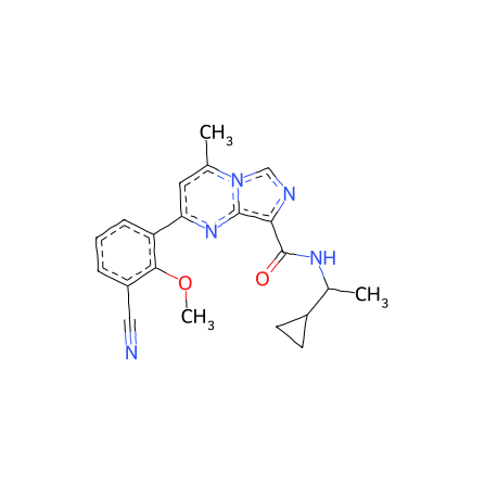 COc1c(C#N)cccc1-c1cc(C)n2cnc(C(=O)NC(C)C3CC3)c2n1